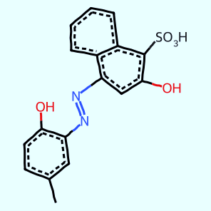 Cc1ccc(O)c(/N=N/c2cc(O)c(S(=O)(=O)O)c3ccccc23)c1